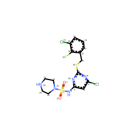 O=S(=O)(Nc1cc(Cl)nc(SCc2cccc(Cl)c2F)n1)N1CCNCC1